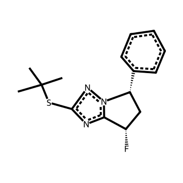 CC(C)(C)Sc1nc2n(n1)[C@H](c1ccccc1)C[C@@H]2F